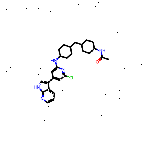 CC(=O)NC1CCC(CC2CCC(Nc3cc(-c4c[nH]c5ncccc45)cc(Cl)n3)CC2)CC1